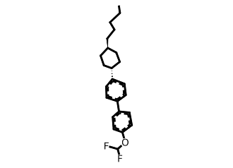 CCCCC[C@H]1CC[C@H](c2ccc(-c3ccc(OC(F)F)cc3)cc2)CC1